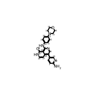 Nc1ccc(-c2cnc(Nc3ccc(N4CCOCC4)cc3)c3c(=O)[nH]ccc23)cn1